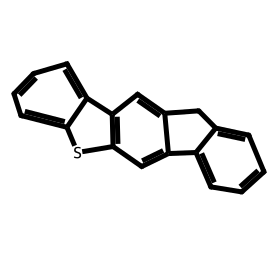 c1ccc2c(c1)Cc1cc3c(cc1-2)sc1ccccc13